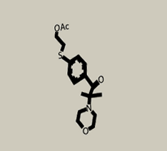 CC(=O)OCCSc1ccc(C(=O)C(C)(C)N2CCOCC2)cc1